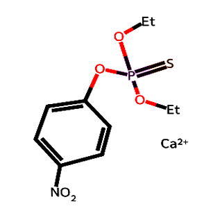 CCOP(=S)(OCC)Oc1ccc([N+](=O)[O-])cc1.[Ca+2]